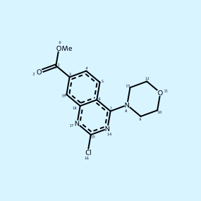 COC(=O)c1ccc2c(N3CCOCC3)nc(Cl)nc2c1